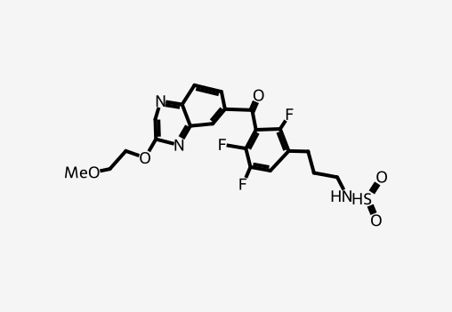 COCCOc1cnc2ccc(C(=O)c3c(F)c(F)cc(CCCN[SH](=O)=O)c3F)cc2n1